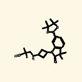 CC(C)(O)CNC1CC(N2C(=O)C(C)(C)c3ccc(B4OC(C)(C)C(C)(C)O4)cc32)C1